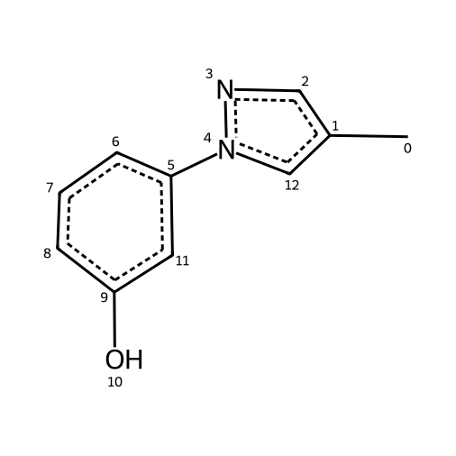 Cc1cnn(-c2cccc(O)c2)c1